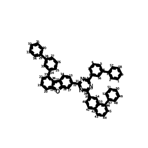 c1ccc(-c2cccc(-c3nc(-c4ccc5c(c4)oc4cccc(-c6cccc(-c7ccccc7)c6)c45)nc(-c4ccc5cccc(-c6ccccc6)c5c4)n3)c2)cc1